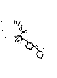 CCOC(=O)c1[nH]nnc1Oc1cccc(OC2CCCCC2)c1